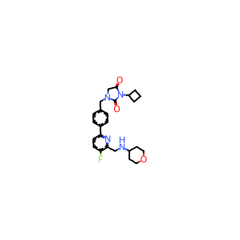 O=C1CN(Cc2ccc(-c3ccc(F)c(CNC4CCOCC4)n3)cc2)C(=O)N1C1CCC1